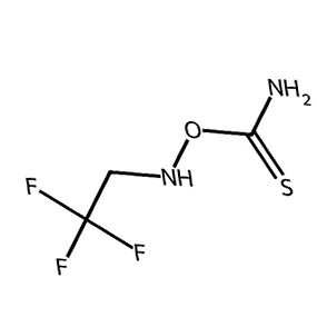 NC(=S)ONCC(F)(F)F